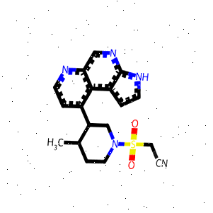 CC1CCN(S(=O)(=O)CC#N)CC1c1ccnc2cnc3[nH]ccc3c12